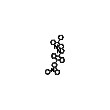 c1ccc(-c2c3ccccc3nc3c2ccc2ccc(-c4c5ccccc5c(-c5ccc6c(c5)c5ccccc5n6-c5ccccc5)c5ccccc45)nc23)cc1